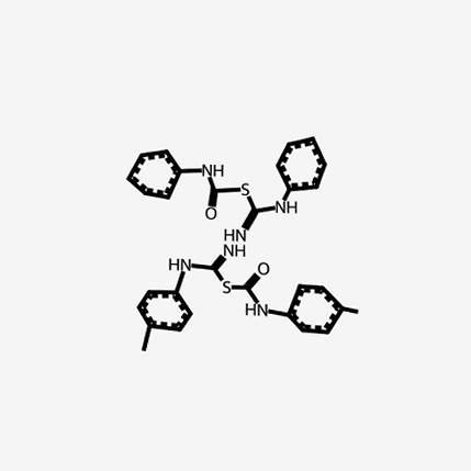 Cc1ccc(NC(=N)SC(=O)Nc2ccc(C)cc2)cc1.N=C(Nc1ccccc1)SC(=O)Nc1ccccc1